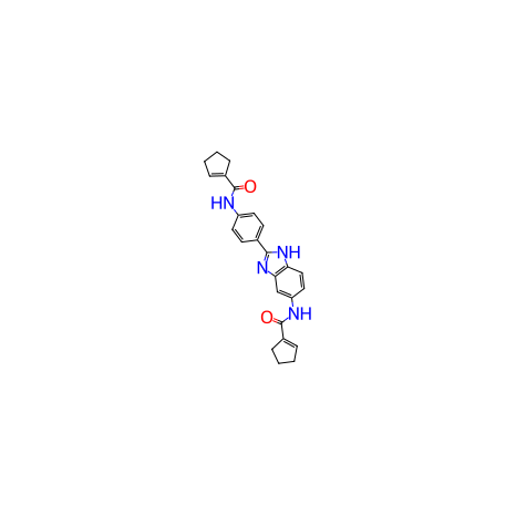 O=C(Nc1ccc(-c2nc3cc(NC(=O)C4=CCCC4)ccc3[nH]2)cc1)C1=CCCC1